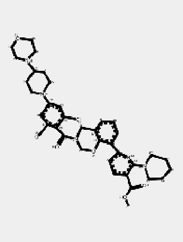 COC(=O)c1ccc(-c2cccc3c2OCN(C(=O)c2c(Cl)cc(N4CCC(N5CCOCC5)CC4)cc2Cl)C3)nc1N1CCCCC1